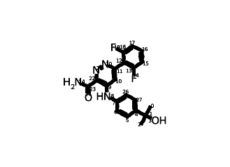 CC(C)(O)c1ccc(Nc2cc(-c3c(F)cccc3F)nnc2C(N)=O)cc1